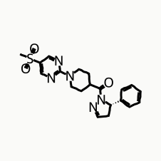 CS(=O)(=O)c1cnc(N2CCC(C(=O)N3N=CC[C@H]3c3ccccc3)CC2)nc1